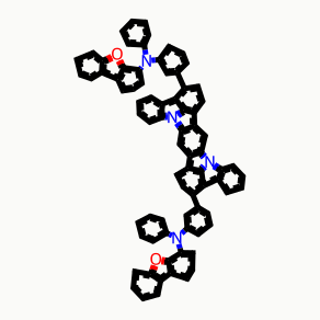 c1ccc(N(c2cccc(-c3ccc4c5cc6c(cc5n5c7ccccc7c3c45)c3ccc(-c4cccc(N(c5ccccc5)c5cccc7c5oc5ccccc57)c4)c4c5ccccc5n6c34)c2)c2cccc3c2oc2ccccc23)cc1